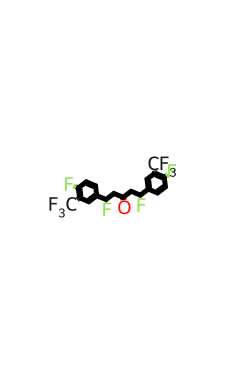 O=C(C[C@H](F)c1ccc(F)c(C(F)(F)F)c1)C[C@H](F)c1ccc(F)c(C(F)(F)F)c1